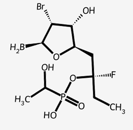 B[C@@H]1O[C@H](C[C@@](F)(CC)OP(=O)(O)C(C)O)[C@@H](O)[C@H]1Br